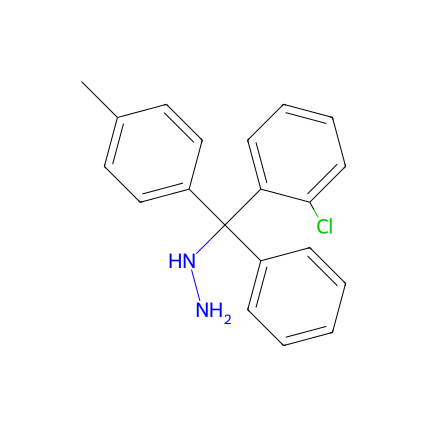 Cc1ccc(C(NN)(c2ccccc2)c2ccccc2Cl)cc1